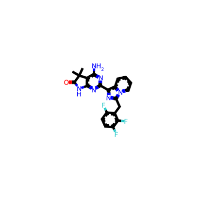 CC1(C)C(=O)Nc2nc(-c3nc(Cc4c(F)ccc(F)c4F)n4ccccc34)nc(N)c21